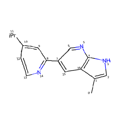 Cc1c[nH]c2ncc(-c3cc(C(C)C)ccn3)cc12